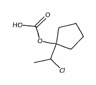 CC(Cl)C1(OC(=O)O)CCCC1